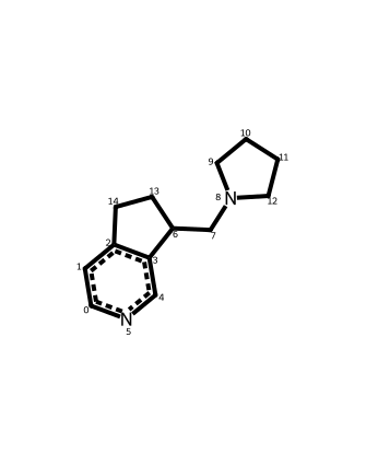 c1cc2c(cn1)C(CN1CCCC1)CC2